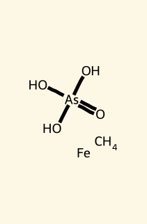 C.O=[As](O)(O)O.[Fe]